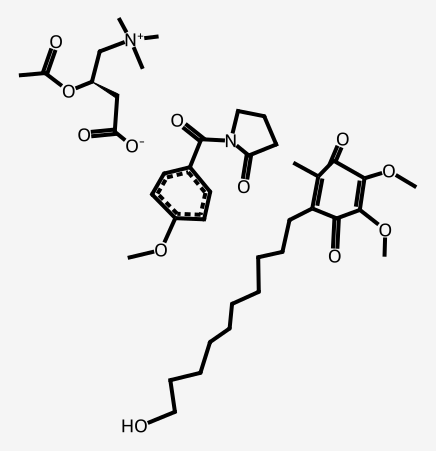 CC(=O)O[C@H](CC(=O)[O-])C[N+](C)(C)C.COC1=C(OC)C(=O)C(CCCCCCCCCCO)=C(C)C1=O.COc1ccc(C(=O)N2CCCC2=O)cc1